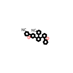 N#Cc1cccc(-c2c(-c3ccc4c(c3)oc3ccc(C#N)cc34)cccc2-c2cccc3oc4ccccc4c23)c1